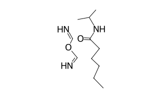 CCCCCC(=O)NC(C)C.N=COC=N